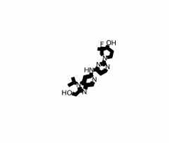 CC(C)n1c(CO)nc2cnc(Nc3ccnc(N4CCC(O)C(C)(F)C4)n3)cc21